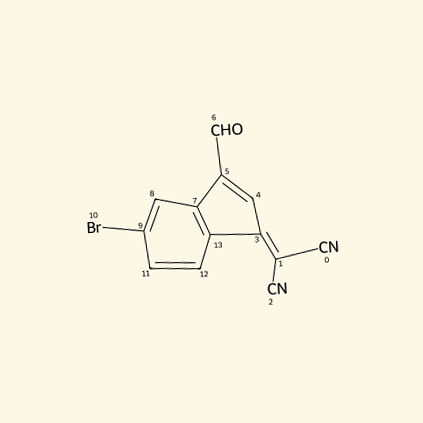 N#CC(C#N)=C1C=C(C=O)c2cc(Br)ccc21